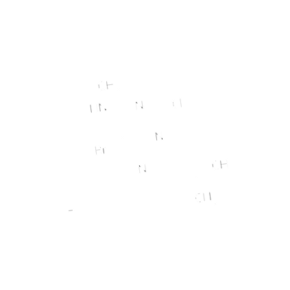 C=C(C)CCN(c1ccc(F)cc1)c1nc(Cl)nc(NC)c1Br